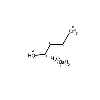 CCCCO.O.[BaH2]